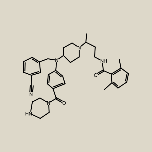 Cc1cccc(C)c1C(=O)NCCC(C)N1CCC(N(Cc2cccc(C#N)c2)c2ccc(C(=O)N3CCNCC3)cc2)CC1